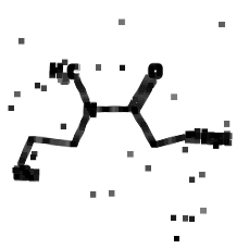 CCCCCCCCC(=O)N(C)CCC(C)(C)C